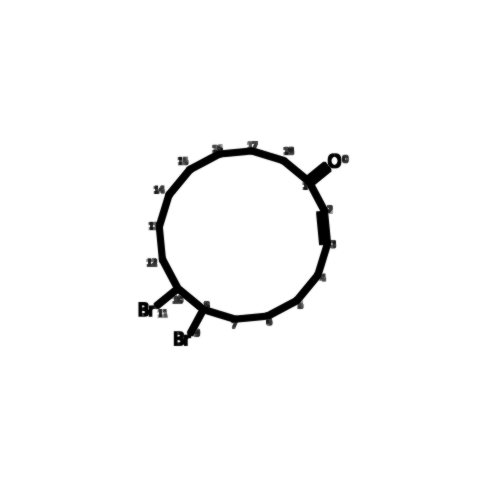 O=C1C=CCCCCC(Br)C(Br)CCCCCCC1